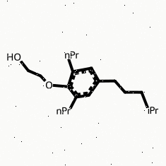 CCCc1cc(CCCC(C)C)cc(CCC)c1OCCO